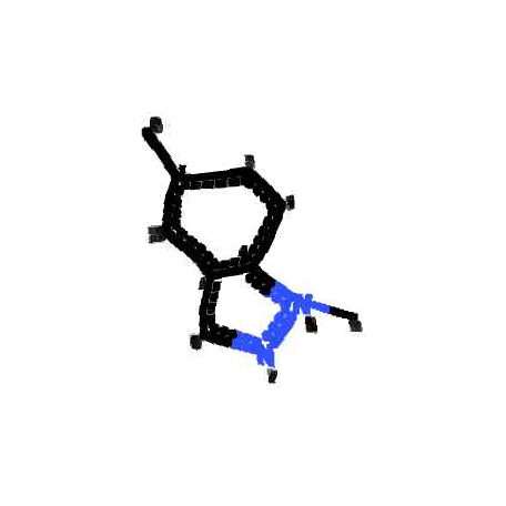 Cc1ccc2c(cnn2C)c1